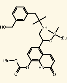 CC(C)(Cc1cccc(CO)c1)NCC(O[Si](C)(C)C(C)(C)C)c1ccc(OC(=O)OC(C)(C)C)c2[nH]c(=O)ccc12